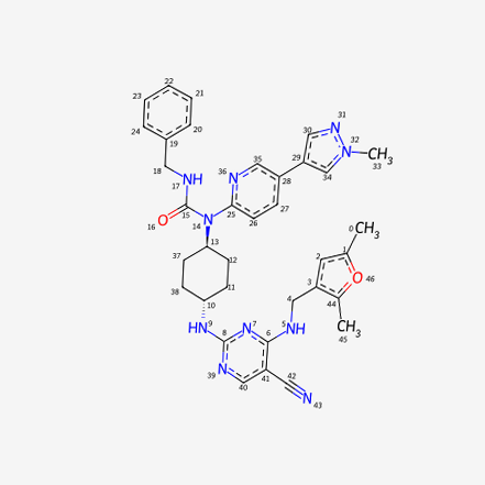 Cc1cc(CNc2nc(N[C@H]3CC[C@H](N(C(=O)NCc4ccccc4)c4ccc(-c5cnn(C)c5)cn4)CC3)ncc2C#N)c(C)o1